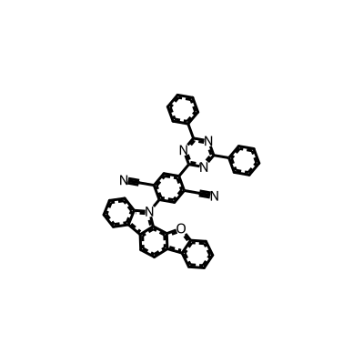 N#Cc1cc(-n2c3ccccc3c3ccc4c5ccccc5oc4c32)c(C#N)cc1-c1nc(-c2ccccc2)nc(-c2ccccc2)n1